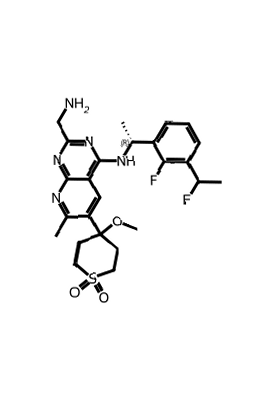 COC1(c2cc3c(N[C@H](C)c4cccc(C(C)F)c4F)nc(CN)nc3nc2C)CCS(=O)(=O)CC1